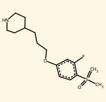 C=S(C)(=O)c1ccc(OCCCC2CCNCC2)cc1F